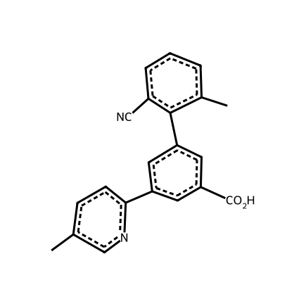 Cc1ccc(-c2cc(C(=O)O)cc(-c3c(C)cccc3C#N)c2)nc1